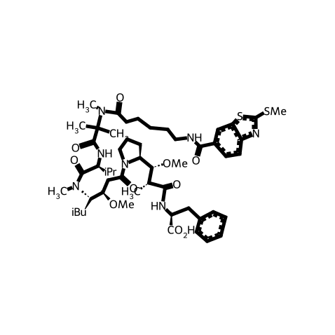 CC[C@H](C)[C@@H]([C@@H](CC(=O)N1CCC[C@H]1[C@H](OC)[C@@H](C)C(=O)N[C@@H](Cc1ccccc1)C(=O)O)OC)N(C)C(=O)[C@@H](NC(=O)C(C)(C)N(C)C(=O)CCCCCNC(=O)c1ccc2nc(SC)sc2c1)C(C)C